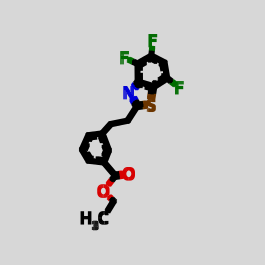 CCOC(=O)c1cccc(CCc2nc3c(F)c(F)cc(F)c3s2)c1